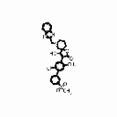 Cc1cc(-c2cccc(S(C)(=O)=O)c2)c(Cl)cc1C1=C(O)C2(CCCN(Cc3nc4ccccc4[nH]3)C2)OC1=O